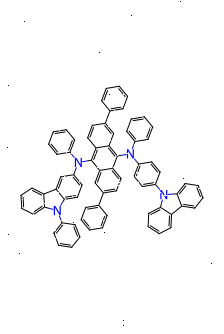 c1ccc(-c2ccc3c(N(c4ccccc4)c4ccc5c(c4)c4ccccc4n5-c4ccccc4)c4cc(-c5ccccc5)ccc4c(N(c4ccccc4)c4ccc(-n5c6ccccc6c6ccccc65)cc4)c3c2)cc1